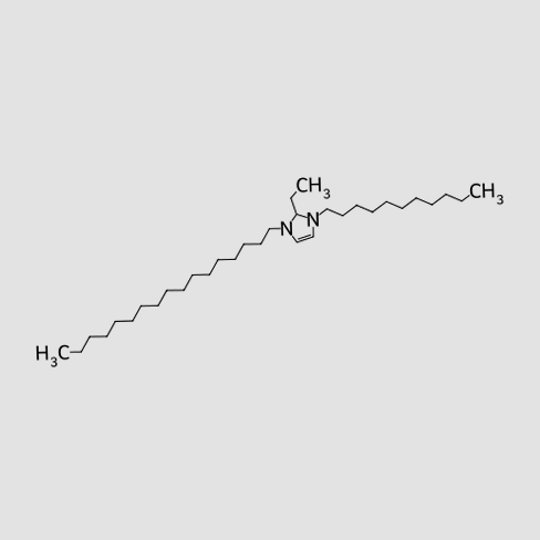 CCCCCCCCCCCCCCCCCN1C=CN(CCCCCCCCCCC)C1CC